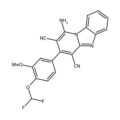 COc1cc(-c2c(C#N)c(N)n3c(nc4ccccc43)c2C#N)ccc1OC(F)F